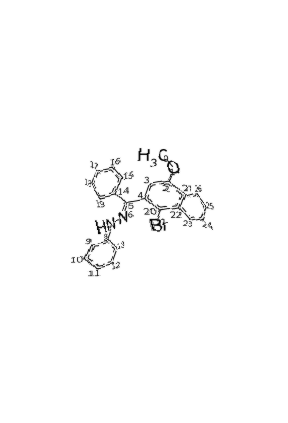 COc1cc(C(=NNc2ccccc2)c2ccccc2)c(Br)c2ccccc12